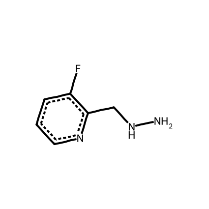 NNCc1ncccc1F